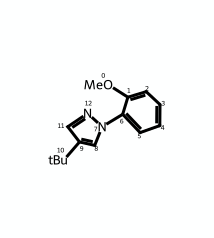 COc1ccccc1-n1cc(C(C)(C)C)cn1